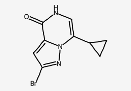 O=c1[nH]cc(C2CC2)n2nc(Br)cc12